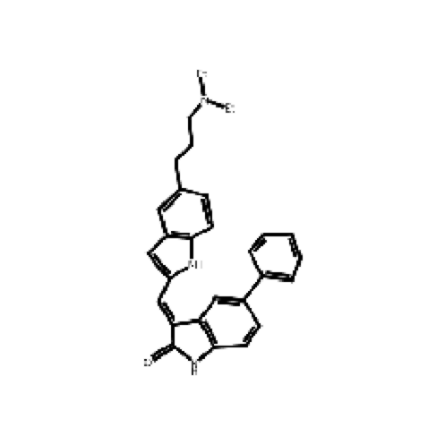 CCN(CC)CCCc1ccc2[nH]c(/C=C3/C(=O)Nc4ccc(-c5ccccc5)cc43)cc2c1